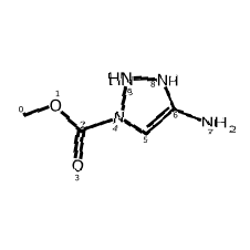 COC(=O)N1C=C(N)NN1